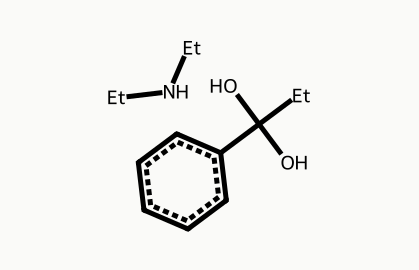 CCC(O)(O)c1ccccc1.CCNCC